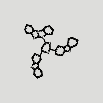 c1ccc2c(c1)nc1n(-c3cc(-c4ccc5oc6ccccc6c5c4)nc(-c4ccc5oc6ccccc6c5c4)n3)c3ccccc3n21